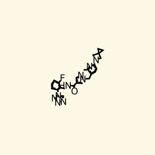 Cc1nc(N2CC3(CC3)C2)ccc1Cn1cc(C(=O)NCc2c(F)cccc2-n2cnnn2)cn1